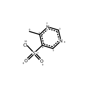 Cc1ncncc1S(=O)(=O)Cl